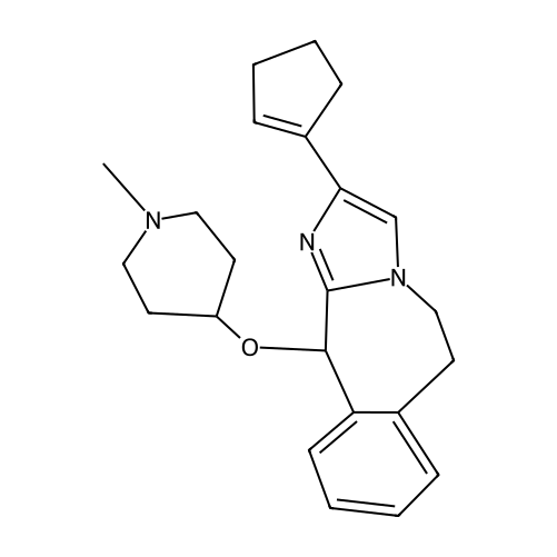 CN1CCC(OC2c3ccccc3CCn3cc(C4=CCCC4)nc32)CC1